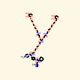 CCn1nccc1C(=O)N[C@H](C(=O)Nc1ccc(C[C@@H](NC(=O)COCCOCCOCC(=O)NC(COCCC(=O)NCCOCCOCCOCCOCC2OCC[C@@H](O)[C@H]2O)COCCC(=O)NCCOCCOCCOCCOC[C@H]2OCC[C@@H](O)[C@H]2O)C(=O)N2CCN(C)CC2)cc1)C1CCCCCC1